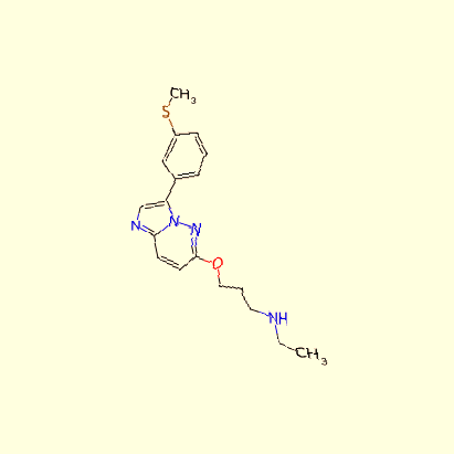 CCNCCCOc1ccc2ncc(-c3cccc(SC)c3)n2n1